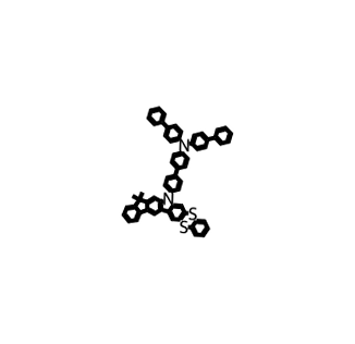 CC1(C)c2ccccc2-c2cc3c4cc5c(cc4n(-c4ccc(-c6ccc(N(c7ccc(-c8ccccc8)cc7)c7ccc(-c8ccccc8)cc7)cc6)cc4)c3cc21)Sc1ccccc1S5